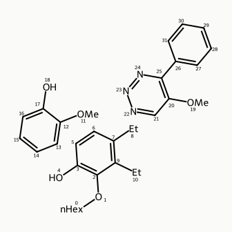 CCCCCCOc1c(O)ccc(CC)c1CC.COc1ccccc1O.COc1cnnnc1-c1ccccc1